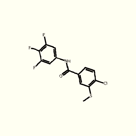 CSc1cc(C(=O)Nc2cc(F)c(F)c(F)c2)ccc1Cl